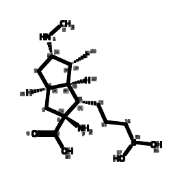 CN[C@H]1C[C@@H]2C[C@@](N)(C(=O)O)[C@@H](CCCB(O)O)[C@@H]2[C@H]1F